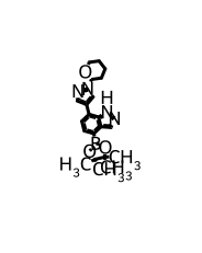 CC1(C)OB(c2ccc(-c3cnn(C4CCCCO4)c3)c3[nH]ncc23)OC1(C)C